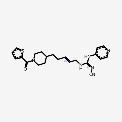 N#C/N=C(\NC/C=C/CCC1CCN(C(=O)c2cccs2)CC1)Nc1ccncc1